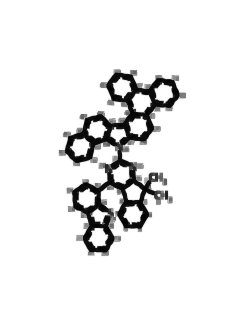 CC1(C)c2ccccc2-c2c(-c3cccc4c3sc3ccccc34)nc(-n3c4ccc5c6ccccc6c6ccccc6c5c4c4ccc5ccccc5c43)nc21